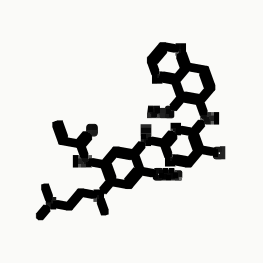 C=CC(=O)Nc1cc(Nc2ncc(Cl)c(Nc3ccc4nccnc4c3SC)n2)c(OC)cc1N(C)CCN(C)C